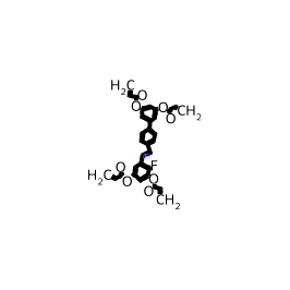 C=CC(=O)Oc1cc(OC(=O)C=C)cc(-c2ccc(/C=C/c3cc(OC(=O)C=C)cc(OC(=O)C=C)c3F)cc2)c1